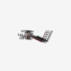 CC(=O)O.CC(=O)O.CC(=O)O.CC(=O)O.CC(=O)O.CC(=O)O.CC(=O)O.CC(=O)O.CC(=O)O.CC(=O)O.CC(=O)O.CC(=O)O.CC(=O)O.CC(=O)O.CC(=O)O.CC(=O)O.CC(=O)O.CC(=O)O.CC(=O)O.CCOC(=O)C(C(CO)(CO)OCO)(C(CO)(CO)OCO)C(OC(O)(CO)CO)(C(CO)(CO)OCO)C(CO)(CO)OCO